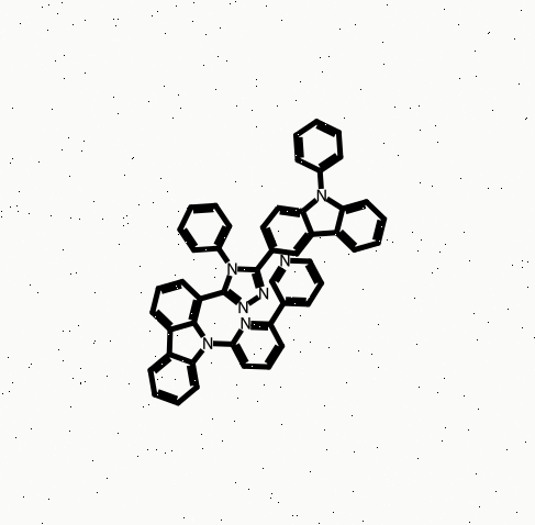 c1ccc(-n2c(-c3ccc4c(c3)c3ccccc3n4-c3ccccc3)nnc2-c2cccc3c4ccccc4n(-c4cccc(-c5cccnc5)n4)c23)cc1